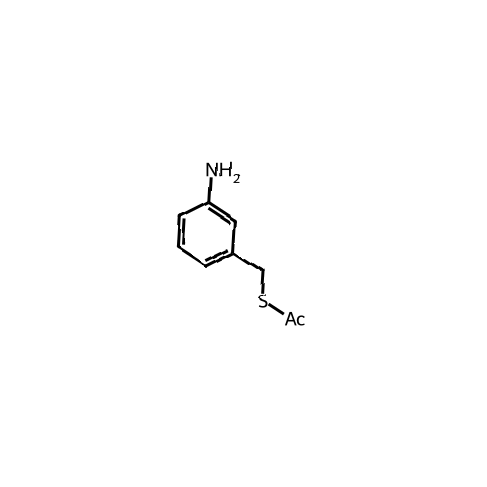 CC(=O)SCc1cccc(N)c1